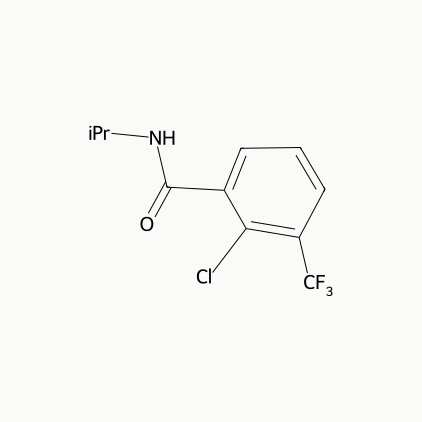 CC(C)NC(=O)c1cccc(C(F)(F)F)c1Cl